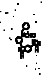 O=CN(Cc1ccccc1)c1cccc(-c2n[nH]c3ccc(-c4ncn[nH]4)cc23)c1